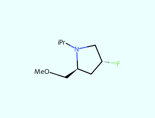 COC[C@@H]1C[C@@H](F)CN1C(C)C